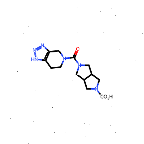 O=C(O)N1CC2CN(C(=O)N3CCc4[nH]nnc4C3)CC2C1